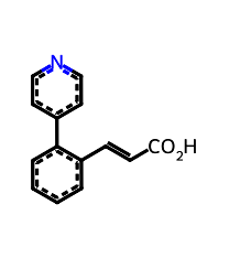 O=C(O)C=Cc1ccccc1-c1ccncc1